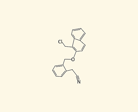 N#CCc1ccccc1COc1ccc2ccccc2c1CCl